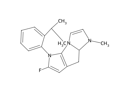 CC(C)c1ccccc1-n1c(F)cc2c1N1C=CN(C)C1C2